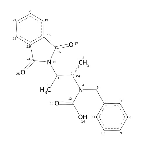 CC([C@H](C)N(Cc1ccccc1)C(=O)O)N1C(=O)c2ccccc2C1=O